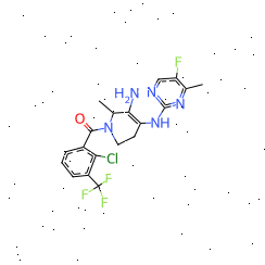 Cc1nc(NC2=C(N)C(C)N(C(=O)c3cccc(C(F)(F)F)c3Cl)CC2)ncc1F